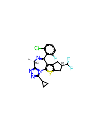 C[C@@H]1N=C(c2c(F)cccc2Cl)c2c(sc3c2C[C@@H](C(F)F)C3)-n2c(C3CC3)nnc21